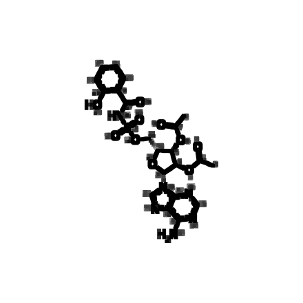 CC(=O)O[C@@H]1[C@H](OC(C)=O)[C@@H](COS(=O)(=O)NC(=O)c2ccccc2O)O[C@H]1n1cnc2c(N)ncnc21